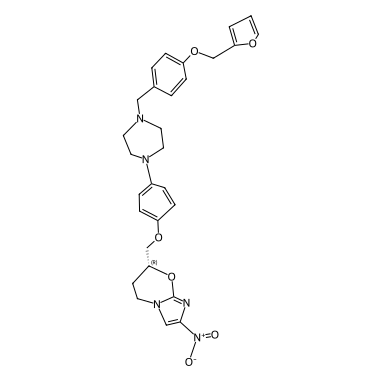 O=[N+]([O-])c1cn2c(n1)O[C@@H](COc1ccc(N3CCN(Cc4ccc(OCc5ccco5)cc4)CC3)cc1)CC2